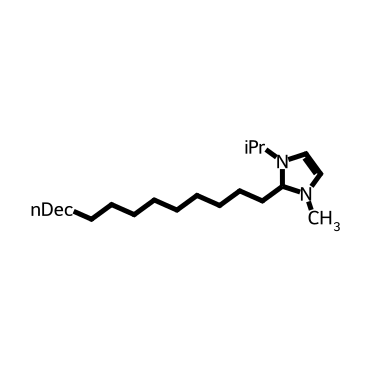 CCCCCCCCCCCCCCCCCCCC1N(C)C=CN1C(C)C